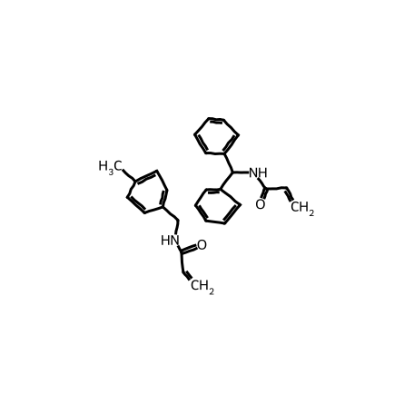 C=CC(=O)NC(c1ccccc1)c1ccccc1.C=CC(=O)NCc1ccc(C)cc1